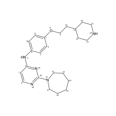 c1cc(Nc2ccc(OCCC3CCNCC3)cc2)nc(N2CCCCCC2)n1